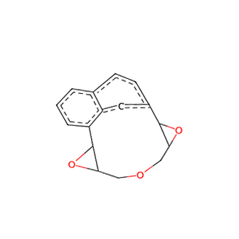 c1cc2c3cc(ccc3c1)C1OC1COCC1OC21